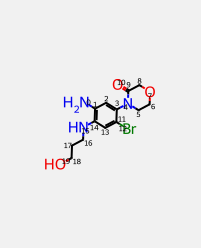 Nc1cc(N2CCOCC2=O)c(Br)cc1NCCCO